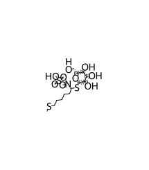 CSCCCCCC(=NOS(=O)(=O)O)S[C@@H]1O[C@H](CO)[C@@H](O)[C@H](O)[C@H]1O